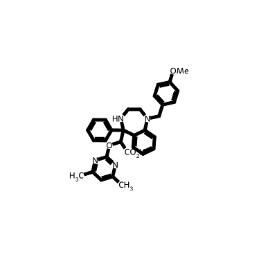 COc1ccc(CN2CCNC(c3ccccc3)(C(Oc3nc(C)cc(C)n3)C(=O)O)c3ccccc32)cc1